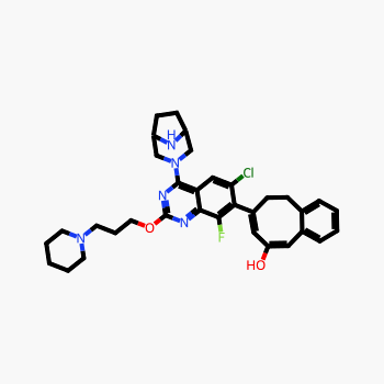 OC1=C/c2ccccc2CC/C(c2c(Cl)cc3c(N4CC5CCC(C4)N5)nc(OCCCN4CCCCC4)nc3c2F)=C\1